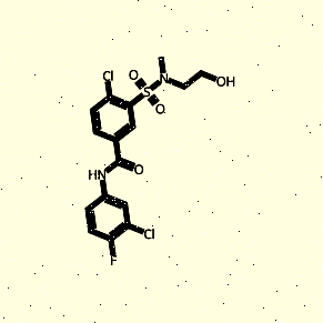 CN(CCO)S(=O)(=O)c1cc(C(=O)Nc2ccc(F)c(Cl)c2)ccc1Cl